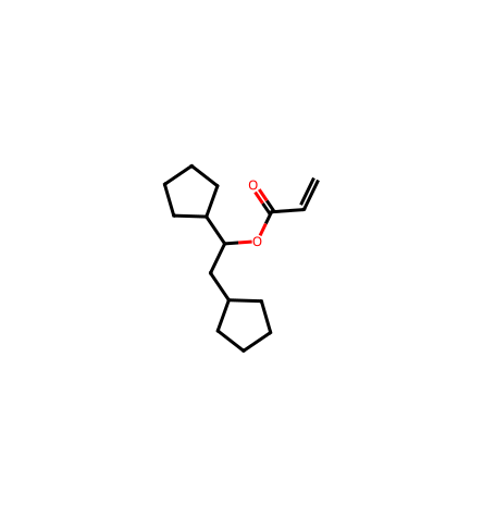 C=CC(=O)OC(CC1CCCC1)C1CCCC1